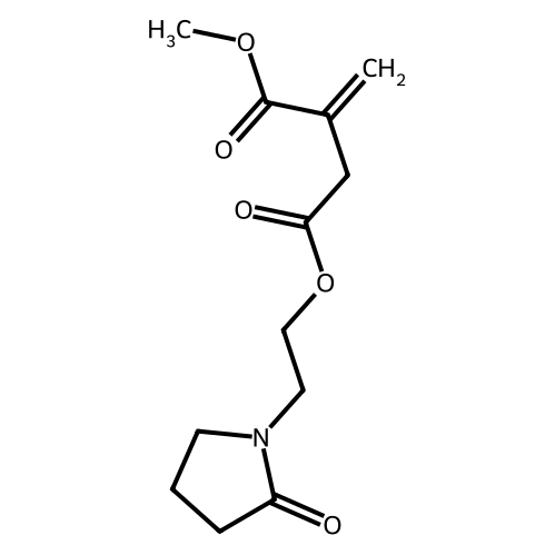 C=C(CC(=O)OCCN1CCCC1=O)C(=O)OC